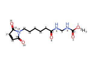 [2H]OC(=O)NCNC(=O)CCCCCN1C(=O)C=CC1=O